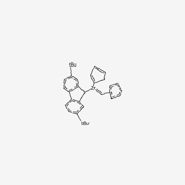 CC(C)(C)c1ccc2c(c1)[CH]([Zr](=[CH]c1ccccc1)[C]1=CC=CC1)c1cc(C(C)(C)C)ccc1-2